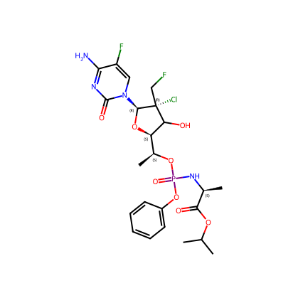 CC(C)OC(=O)[C@H](C)NP(=O)(Oc1ccccc1)O[C@@H](C)[C@H]1O[C@@H](n2cc(F)c(N)nc2=O)[C@@](Cl)(CF)C1O